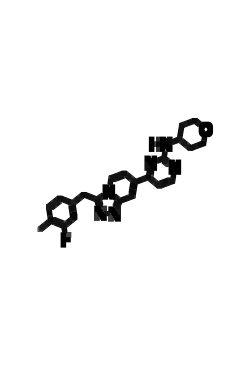 Cc1ccc(Cc2nnc3cc(-c4ccnc(NC5CCOCC5)n4)ccn23)cc1F